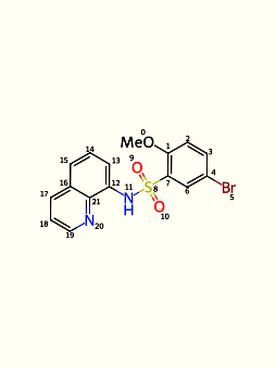 COc1ccc(Br)cc1S(=O)(=O)Nc1cccc2cccnc12